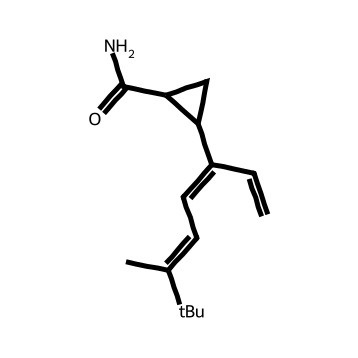 C=C/C(=C\C=C(/C)C(C)(C)C)C1CC1C(N)=O